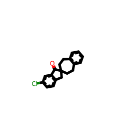 O=C1c2cc(Cl)ccc2CC12CCc1ccccc1CC2